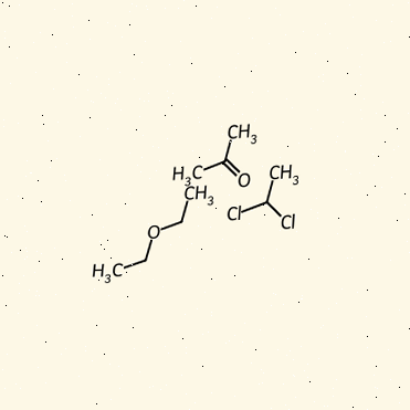 CC(C)=O.CC(Cl)Cl.CCOCC